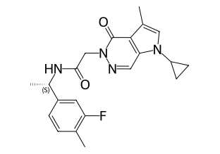 Cc1ccc([C@H](C)NC(=O)Cn2ncc3c(c(C)cn3C3CC3)c2=O)cc1F